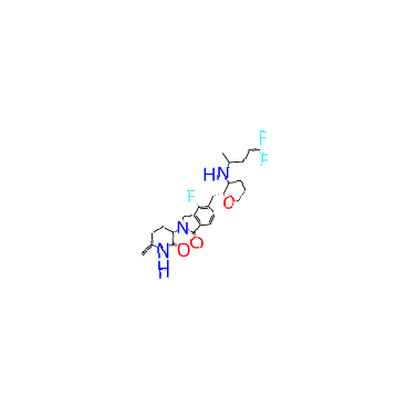 C=C1CCC(N2Cc3c(ccc(C[C@H]4OCCC[C@@H]4NC(C)CCC(F)F)c3F)C2=O)C(=O)N1